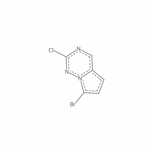 Clc1n[c]c2ccc(Br)n2n1